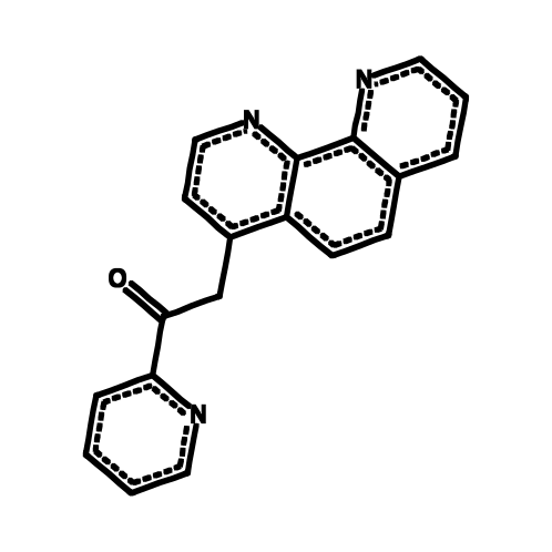 O=C(Cc1ccnc2c1ccc1cccnc12)c1ccccn1